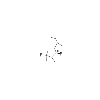 CCC(C)C[C@@H](F)C(C)C(C)(C)F